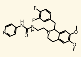 COc1cc2c(cc1OC)C(Cc1ccc(F)c(F)c1)N(CCNC(=O)Nc1ccncc1)CC2